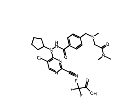 CN(CC(=O)N(C)C)Cc1ccc(C(=O)NN(c2nc(C#N)ncc2Cl)C2CCCC2)cc1.O=C(O)C(F)(F)F